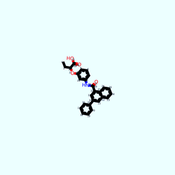 CCC(Oc1cccc(NC(=O)c2cc(-c3ccccc3)cc3ccccc23)c1)C(=O)O